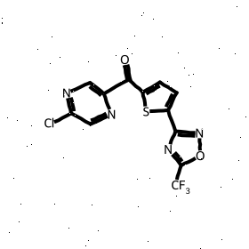 O=C(c1cnc(Cl)cn1)c1ccc(-c2noc(C(F)(F)F)n2)s1